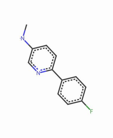 C[N]c1ccc(-c2ccc(F)cc2)nc1